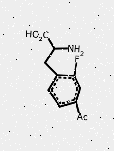 CC(=O)c1ccc(CC(N)C(=O)O)c(F)c1